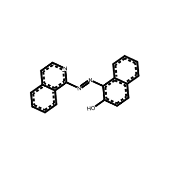 Oc1ccc2ccccc2c1N=Nc1nccc2ccccc12